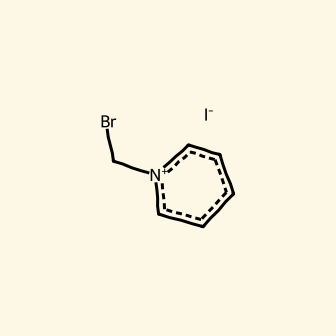 BrC[n+]1ccccc1.[I-]